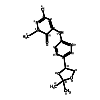 Cn1nc(Cl)cc(Nc2cnc(C3COC(C)(C)O3)cn2)c1=O